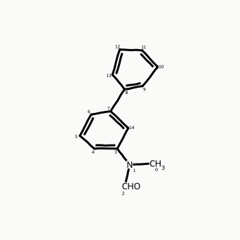 CN(C=O)c1cccc(-c2c[c]ccc2)c1